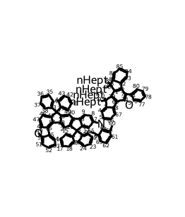 CCCCCCCC1(CCCCCCC)c2cc(N(c3ccc4c(c3)C(c3ccccc3)(c3ccccc3)c3cc5c(cc3-4)C(c3ccccc3)(c3ccccc3)c3ccc4oc6ccccc6c4c3-5)c3c(C)cccc3C)ccc2-c2c1c1c(c3c2oc2ccccc23)-c2ccccc2C1(CCCCCCC)CCCCCCC